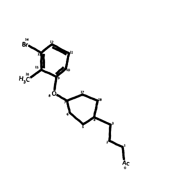 CC(=O)CCCC1CCC(Oc2cccc(Br)c2C)CC1